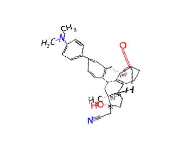 CN(C)c1ccc(-c2ccc3c(c2)C[C@]24CCC(=O)C=C2CCC2=C4C3C[C@@]3(C)[C@H]2CC[C@@]3(O)CC#N)cc1